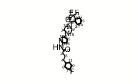 O=C(CCCc1ccc(F)cc1)Nc1ccc(N2CCN(C(=O)c3ccccc3C(F)(F)F)CC2)cn1